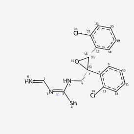 N=C/N=C(/S)NC[C@]1(c2ccccc2Cl)O[C@@H]1c1ccccc1Cl